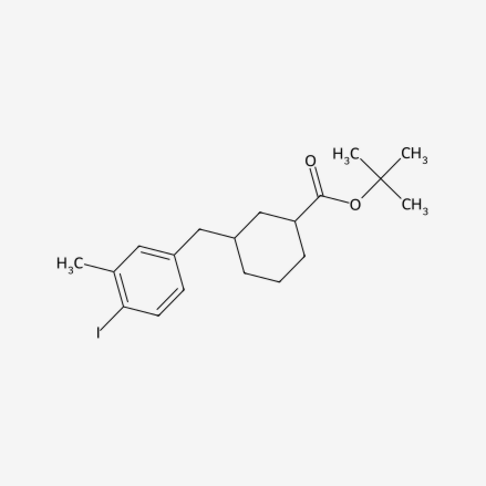 Cc1cc(CC2CCCC(C(=O)OC(C)(C)C)C2)ccc1I